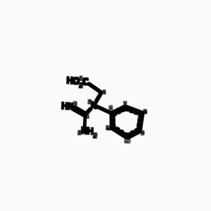 N=C(N)N(CC(=O)O)c1ccccc1